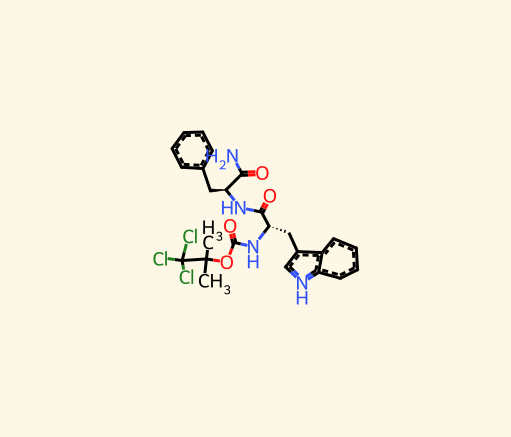 CC(C)(OC(=O)N[C@@H](Cc1c[nH]c2ccccc12)C(=O)N[C@@H](Cc1ccccc1)C(N)=O)C(Cl)(Cl)Cl